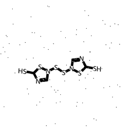 SC1N=CN(SSN2C=NC(S)S2)S1